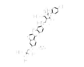 COc1cc2c(Oc3ccc(NC(=O)c4c(C)n(C)n(-c5ccc(C)cc5)c4=O)cc3F)ccnc2cc1OCC(C)(C)O